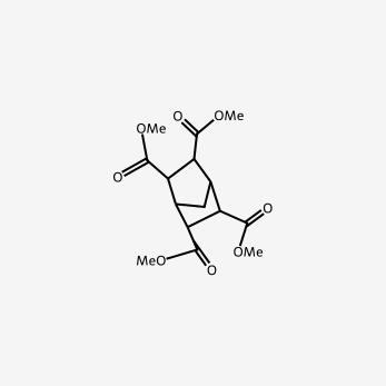 COC(=O)C1C2CC(C1C(=O)OC)C(C(=O)OC)C2C(=O)OC